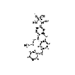 NCCOc1ccc(C(=O)P(=O)(O)O)cc1Cc1ccc(Oc2ccccc2)cc1